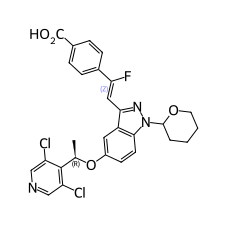 C[C@@H](Oc1ccc2c(c1)c(/C=C(\F)c1ccc(C(=O)O)cc1)nn2C1CCCCO1)c1c(Cl)cncc1Cl